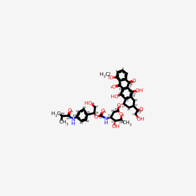 COc1cccc2c1C(=O)c1c(O)c3c(c(O)c1C2=O)CC(C(=O)CO)C[C@@H]3OC1C[C@H](NC(=O)OC(CO)c2ccc(NC(=O)C(C)C)cc2)[C@H](O)[C@H](C)O1